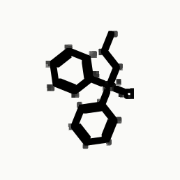 CC[CH2][Sn]([Cl])([c]1ccccc1)[c]1ccccc1